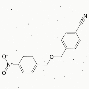 N#Cc1ccc(COCc2ccc([N+](=O)[O-])cc2)cc1